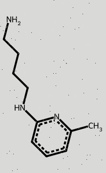 Cc1cccc(NCCCCN)n1